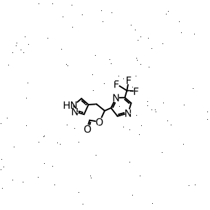 O=COC(Cc1cn[nH]c1)c1cncc(C(F)(F)F)n1